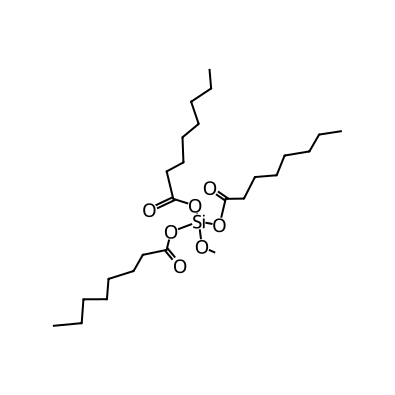 CCCCCCCC(=O)O[Si](OC)(OC(=O)CCCCCCC)OC(=O)CCCCCCC